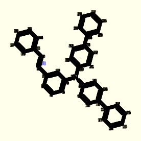 C(=C\c1cccc(N(c2ccc(-c3ccccc3)cc2)c2ccc(-c3ccccc3)cc2)c1)/c1ccccc1